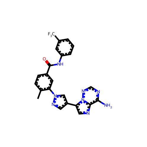 Cc1ccc(C(=O)Nc2cccc(C(F)(F)F)c2)cc1-n1cc(-c2cnc3c(N)ncnn23)cn1